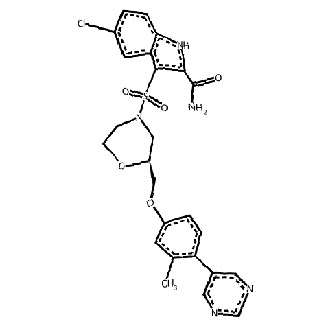 Cc1cc(OC[C@@H]2CN(S(=O)(=O)c3c(C(N)=O)[nH]c4ccc(Cl)cc34)CCO2)ccc1-c1cncnc1